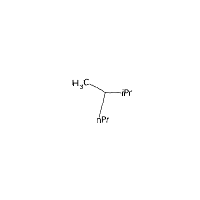 [CH2]CCC(C)C(C)C